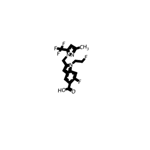 Cc1cc(C(F)(F)F)n(Cc2cc3cc(C(=O)O)c(F)cc3n2CCF)n1